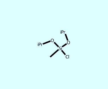 CC(C)O[Si](C)(Cl)OC(C)C